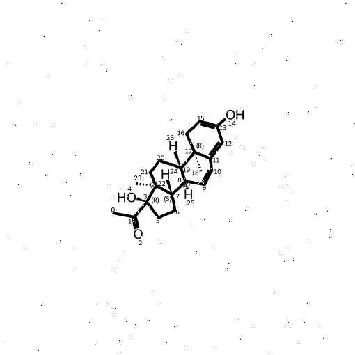 CC(=O)[C@@]1(O)CC[C@H]2[C@@H]3C=CC4=CC(O)=CC[C@]4(C)[C@H]3CC[C@@]21C